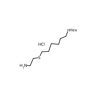 CCCCCCCCCCCCSCCN.Cl